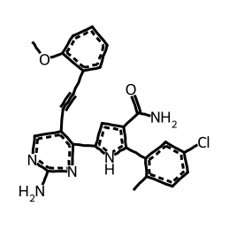 COc1ccccc1C#Cc1cnc(N)nc1-c1cc(C(N)=O)c(-c2cc(Cl)ccc2C)[nH]1